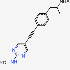 CCCC(C)Nc1ncc(C#Cc2ccc(CC(C)NC(C)=O)cc2)cn1